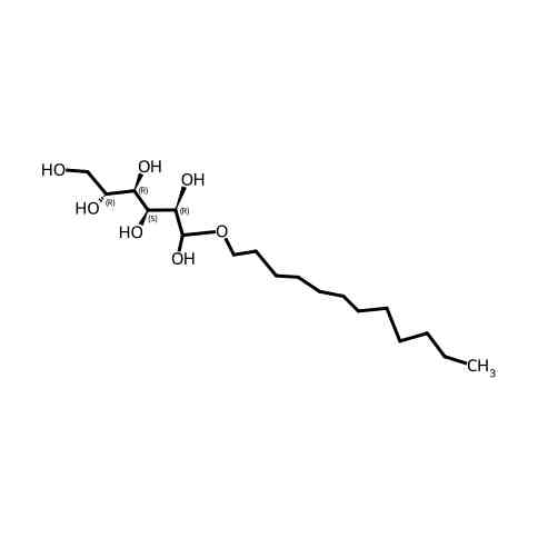 CCCCCCCCCCCCOC(O)[C@H](O)[C@@H](O)[C@H](O)[C@H](O)CO